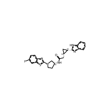 O=C(C[C@@H]1C[C@@H]1c1nc2ccccc2[nH]1)N[C@@H]1CCN(c2nc3ccc(F)cc3s2)C1